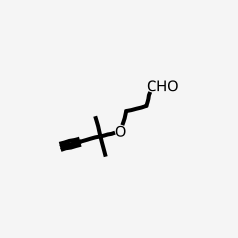 C#CC(C)(C)OCCC=O